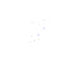 COC=C(C(=O)OC)N(C)c1nc(-c2ccc(Cl)c(Cl)c2)cs1